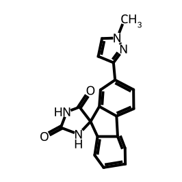 Cn1ccc(-c2ccc3c(c2)C2(NC(=O)NC2=O)c2ccccc2-3)n1